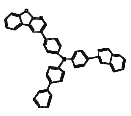 c1ccc(-c2ccc(N(c3ccc(-c4ccc5ccccc5c4)cc3)c3ccc(-c4cnc5oc6ccccc6c5c4)cc3)cc2)cc1